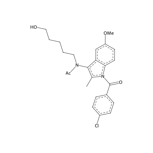 COc1ccc2c(c1)c(N(CCCCCO)C(C)=O)c(C)n2C(=O)c1ccc(Cl)cc1